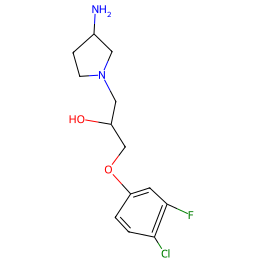 NC1CCN(CC(O)COc2ccc(Cl)c(F)c2)C1